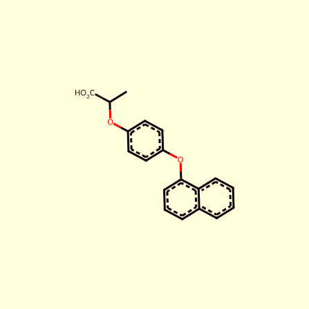 CC(Oc1ccc(Oc2cccc3ccccc23)cc1)C(=O)O